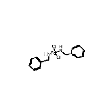 [Cl][Pd]([Cl])([NH]Cc1ccccc1)[NH]Cc1ccccc1